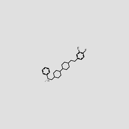 C[C@@H](CC1CCC(C2CCC(CCc3ccc(F)c(F)c3)CC2)CC1)c1ccccc1